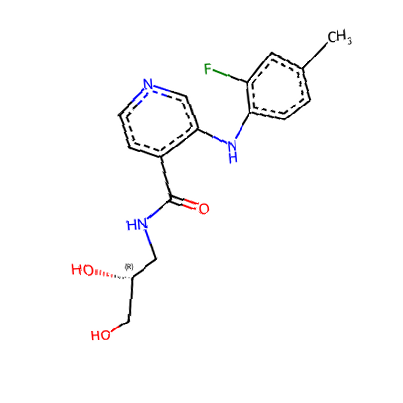 Cc1ccc(Nc2cnccc2C(=O)NC[C@@H](O)CO)c(F)c1